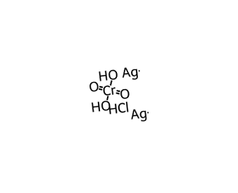 Cl.[Ag].[Ag].[O]=[Cr](=[O])([OH])[OH]